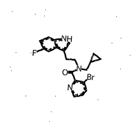 O=C(c1ncccc1Br)N(CCc1c[nH]c2ccc(F)cc12)CC1CC1